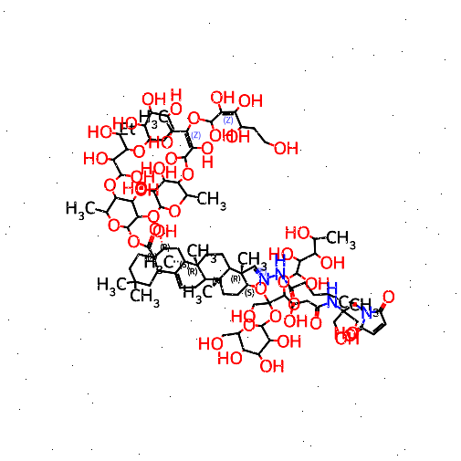 CCC(O)C(OC1CCC(O)C(O)C1O)C(O)C(O)OC1C(C)OC(OC(=O)[C@]23CCC(C)(C)CC2C2=CCC4[C@@]5(C)CC[C@H](OC(CO)(OC6OC(CO)C(O)C(O)C6O)C(OC(O)C(O)C(O)C(C)O)C(O)CC(=O)NC(C)(CO)CO)[C@@](C)(/C=N/NC(=O)CCCCCN6C(=O)C=CC6=O)C5CC[C@@]4(C)[C@]2(C)C[C@H]3O)C(OC2OC(C)C(OC(O)/C(O)=C(/OC(O)/C(O)=C(/O)C(O)CCO)C(C)O)C(O)C2O)C1O